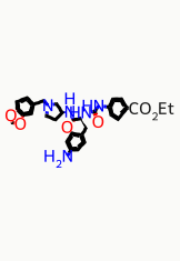 CCOC(=O)c1ccc(NC(=O)N[C@@H](Cc2ccc(N)cc2)C(=O)N[C@H]2CCN(Cc3ccc4c(c3)OCO4)C2)cc1